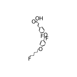 O=C(O)C=Cc1ccc(OC(F)(F)c2ccc(OCCCCCF)cc2)cc1